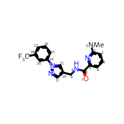 CNc1cccc(C(=O)NCc2cnn(-c3cccc(C(F)(F)F)c3)c2)n1